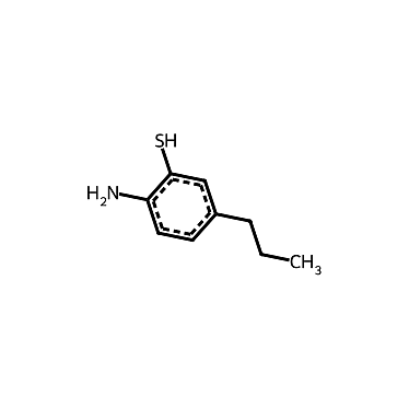 CCCc1ccc(N)c(S)c1